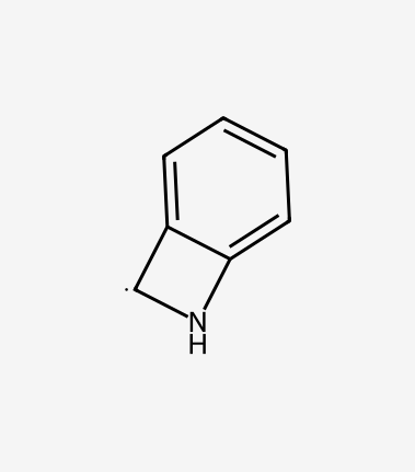 [CH]1Nc2ccccc21